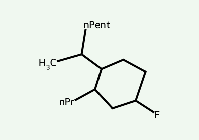 CCCCCC(C)C1CCC(F)CC1CCC